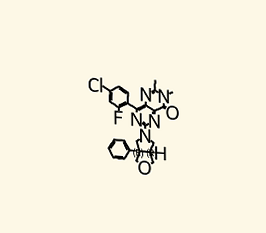 Cc1nc2c(-c3ccc(Cl)cc3F)nc(N3C[C@@H]4COC[C@]4(c4ccccc4)C3)nc2c(=O)n1C